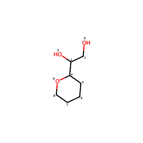 OCC(O)C1CCCCO1